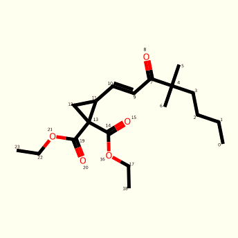 CCCCC(C)(C)C(=O)C=CC1CC1(C(=O)OCC)C(=O)OCC